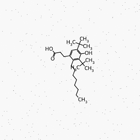 CCCCCCCCc1c(CCC(=O)O)cc(C(C)(C)C)c(O)c1C(C)(C)C